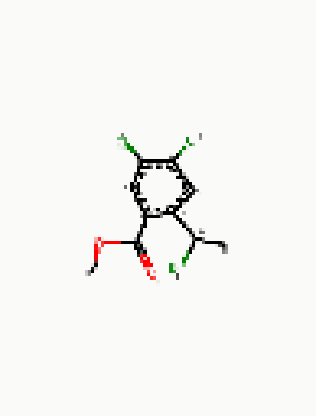 COC(=O)c1cc(Cl)c(Cl)cc1C(C)Br